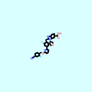 N#Cc1ccc(COc2cccc(-c3ccc(Cc4nc5ccc(C(=O)O)cc5n4[C@H]4CCOC4)c(F)c3)n2)c(F)c1